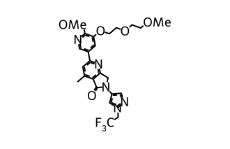 COCCOCCOc1cc(-c2cc(C)c3c(n2)CN(c2cnn(CC(F)(F)F)c2)C3=O)cnc1OC